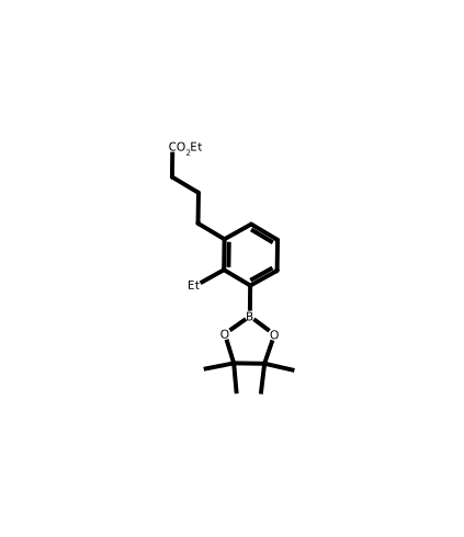 CCOC(=O)CCCc1cccc(B2OC(C)(C)C(C)(C)O2)c1CC